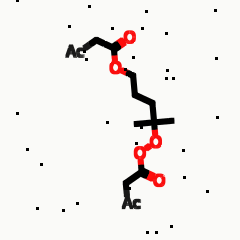 CC(=O)CC(=O)OCCCC(C)(C)OOC(=O)CC(C)=O